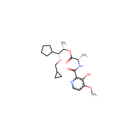 COc1ccnc(C(=O)N[C@@H](C)C(=O)O[C@@H](C)[C@H](OCC2CC2)C2CCCC2)c1O